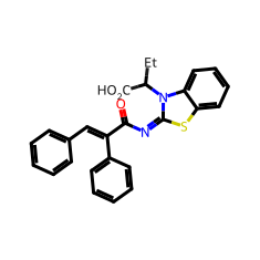 CCC(C(=O)O)n1/c(=N\C(=O)/C(=C/c2ccccc2)c2ccccc2)sc2ccccc21